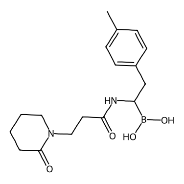 Cc1ccc(CC(NC(=O)CCN2CCCCC2=O)B(O)O)cc1